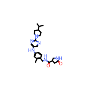 Cc1cc(Nc2cnc(N3CCC(C(C)C)CC3)nc2)ccc1CNC(=O)C1CNC(=O)C1